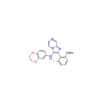 COc1cccc(F)c1-c1nc2cnccn2c1Nc1ccc2c(c1)OCCO2